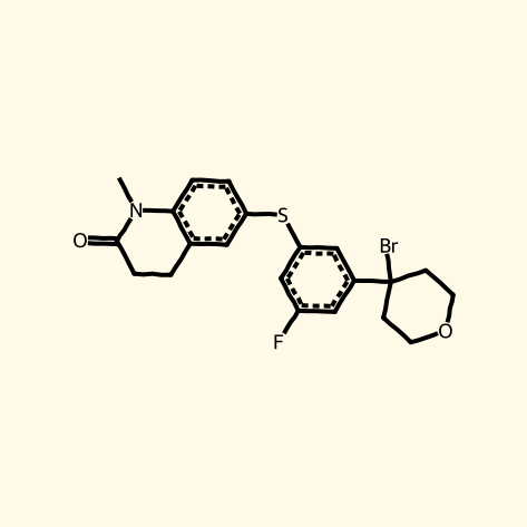 CN1C(=O)CCc2cc(Sc3cc(F)cc(C4(Br)CCOCC4)c3)ccc21